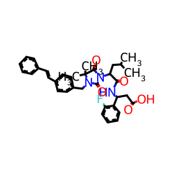 CC(C)CC(C(=O)NC(CC(=O)O)c1ccccc1F)N1C(=O)N(Cc2ccc(C=Cc3ccccc3)cc2)C(C)(C)C1=O